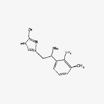 CCCCC(Cc1c[nH]c(C#N)n1)c1cccc(C)c1C